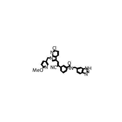 COc1ccc(Cn2cc(/C=C(\C#N)c3cccc(C(=O)NCc4ccc5nn[nH]c5c4)c3)c3ccc(Cl)nc32)cn1